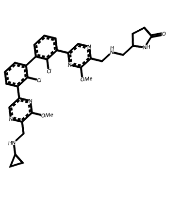 COc1nc(-c2cccc(-c3cccc(-c4cnc(CNC5CC5)c(OC)n4)c3Cl)c2Cl)cnc1CNCC1CCC(=O)N1